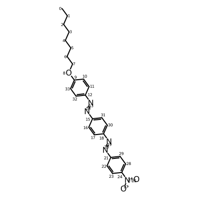 CCCCCCCCOc1ccc(N=Nc2ccc(N=Nc3ccc([N+](=O)[O-])cc3)cc2)cc1